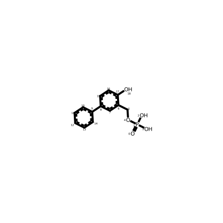 O=P(O)(O)OCc1cc(-c2ccccc2)ccc1O